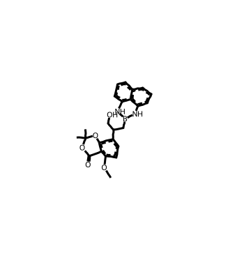 COc1ccc(C(CO)CB2Nc3cccc4cccc(c34)N2)c2c1C(=O)OC(C)(C)O2